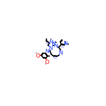 C=CC(=C\N(C)C)/C1=N/CN(C/C(=C/C)N(C)N=C)/C(=N/c2cc(OC)cc(OC)c2C)C/C=C\C/N=C\1